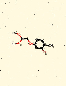 CCOC(COc1ccc(C)c(Br)c1)OCC